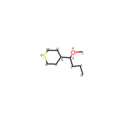 CCCC(OC)C1CCSCC1